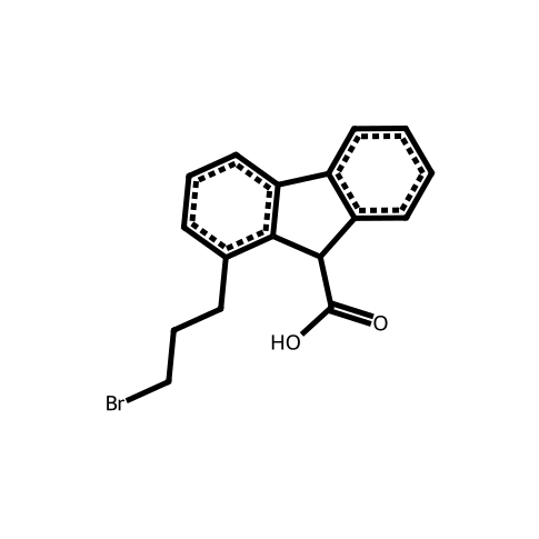 O=C(O)C1c2ccccc2-c2cccc(CCCBr)c21